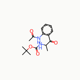 CC(=O)Nc1ccccc1C(=O)C(C)NC(=O)OC(C)(C)C